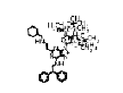 COC[C@H]1O[C@@H](n2cnc3c(NCC(c4ccccc4)c4ccccc4)nc(CCNCC4CCCCC4)nc32)[C@@H](O[Si](C)(C)C(C)(C)C)[C@@H]1O[Si](C)(C)C(C)(C)C